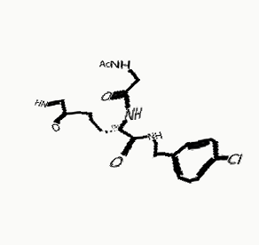 CC(=O)NCC(=O)N[C@@H](CCC(=O)C=N)C(=O)NCc1ccc(Cl)cc1